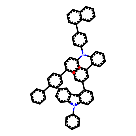 c1ccc(-c2ccc(-c3ccc(N(c4ccc(-c5cccc6ccccc56)cc4)c4ccccc4-c4cccc(-c5cccc6c5c5ccccc5n6-c5ccccc5)c4)cc3)cc2)cc1